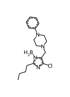 Bn1c(CCCC)nc(Cl)c1CN1CCN(c2ccccc2)CC1